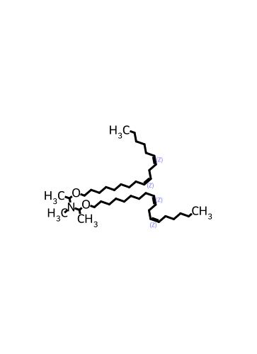 CCCCC/C=C\C/C=C\CCCCCCCCOC(C)N(C)C(C)OCCCCCCCC/C=C\C/C=C\CCCCC